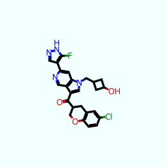 O=C(c1cn(CC2CC(O)C2)c2cc(-c3cn[nH]c3F)ncc12)C1COc2ccc(Cl)cc2C1